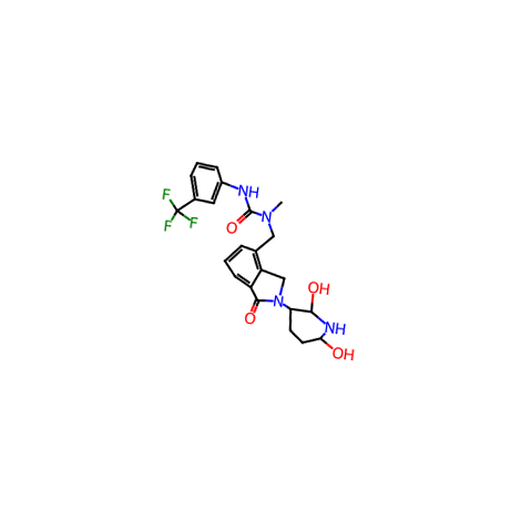 CN(Cc1cccc2c1CN(C1CCC(O)NC1O)C2=O)C(=O)Nc1cccc(C(F)(F)F)c1